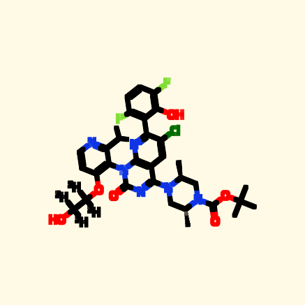 [2H]C([2H])(O)C([2H])([2H])Oc1ccnc(C(C)C)c1-n1c(=O)nc(N2C[C@@H](C)N(C(=O)OC(C)(C)C)C[C@@H]2C)c2cc(Cl)c(-c3c(F)ccc(F)c3O)nc21